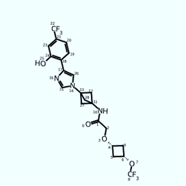 O=C(CO[C@H]1C[C@@H](OC(F)(F)F)C1)NC12CC(n3cnc(-c4ccc(C(F)(F)F)cc4O)c3)(C1)C2